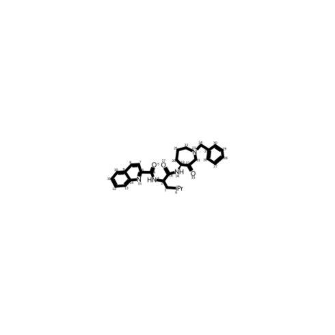 CC(C)CC(NC(=O)c1ccc2ccccc2n1)C(=O)N[C@H]1CCCN(Cc2ccccc2)CC1=O